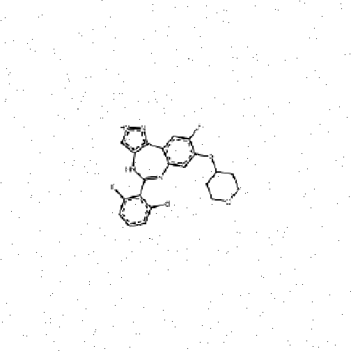 Fc1cc2c(cc1OC1CCOCC1)N=C(c1c(F)cccc1Cl)Nc1c[nH]nc1-2